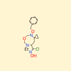 CCN1COCN(OCc2ccccc2)C2(CC2)CC1/C(Cl)=N/O